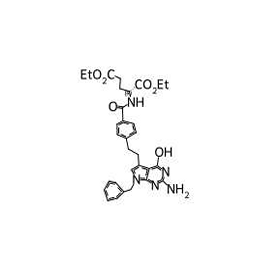 CCOC(=O)CC[C@@H](NC(=O)c1ccc(CCc2cn(Cc3ccccc3)c3nc(N)nc(O)c23)cc1)C(=O)OCC